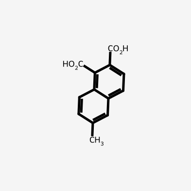 Cc1ccc2c(C(=O)O)c(C(=O)O)ccc2c1